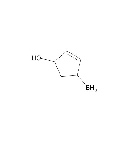 BC1C=CC(O)C1